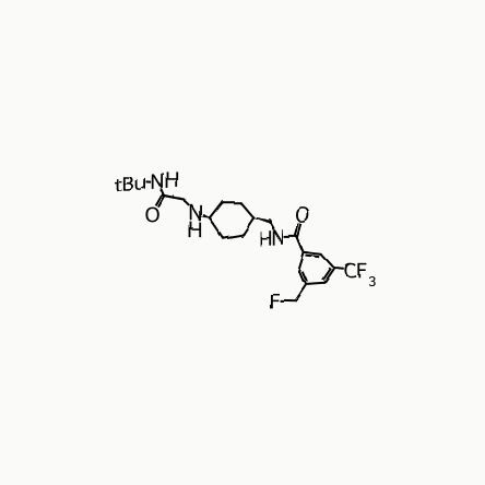 CC(C)(C)NC(=O)CN[C@H]1CC[C@@H](CNC(=O)c2cc(CF)cc(C(F)(F)F)c2)CC1